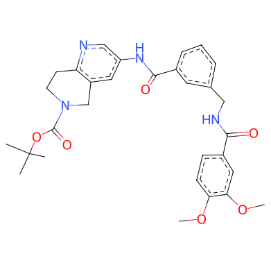 COc1ccc(C(=O)NCc2cccc(C(=O)Nc3cnc4c(c3)CN(C(=O)OC(C)(C)C)CC4)c2)cc1OC